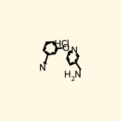 Cl.N#Cc1cccc(Oc2ccc(CN)cn2)c1